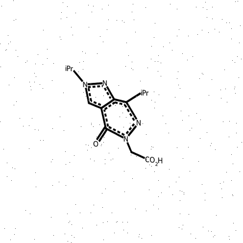 CC(C)c1nn(CC(=O)O)c(=O)c2cn(C(C)C)nc12